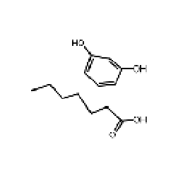 CCCCCCC(=O)O.Oc1cccc(O)c1